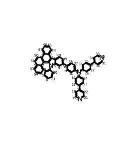 c1ccc(-n2c3cc(-c4ccc(N(c5ccc(-c6ccncc6)cc5)c5ccc(-c6ccncc6)cc5)cc4)ccc3c3c4ccccc4c4ccc5ccccc5c4c32)cc1